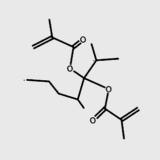 [CH2]CCC(C)C(OC(=O)C(=C)C)(OC(=O)C(=C)C)[C](C)C